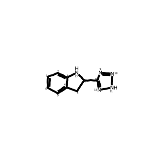 c1ccc2c(c1)CC(c1nn[nH]n1)N2